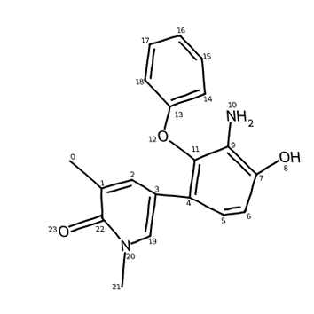 Cc1cc(-c2ccc(O)c(N)c2Oc2ccccc2)cn(C)c1=O